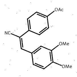 COc1ccc(C=C(C#N)c2ccc(OC(C)=O)cc2)cc1OC